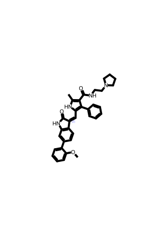 COc1ccccc1-c1ccc2c(c1)NC(=O)/C2=C\c1[nH]c(C)c(C(=O)NCCN2CCCC2)c1-c1ccccc1